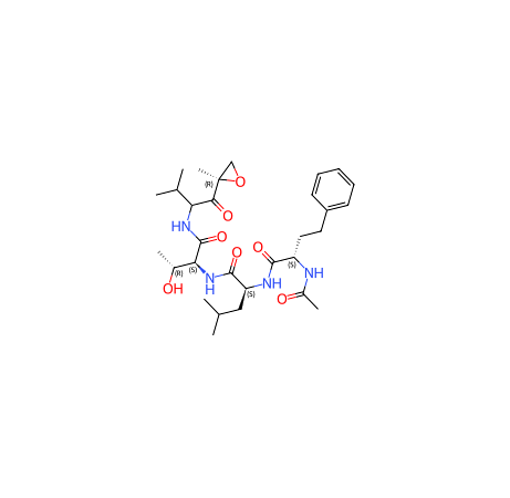 CC(=O)N[C@@H](CCc1ccccc1)C(=O)N[C@@H](CC(C)C)C(=O)N[C@H](C(=O)NC(C(=O)[C@@]1(C)CO1)C(C)C)[C@@H](C)O